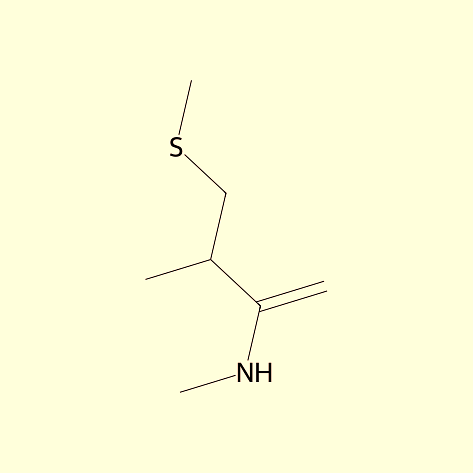 C=C(NC)C(C)CSC